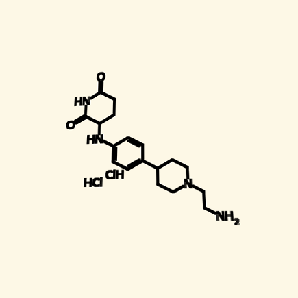 Cl.Cl.NCCN1CCC(c2ccc(NC3CCC(=O)NC3=O)cc2)CC1